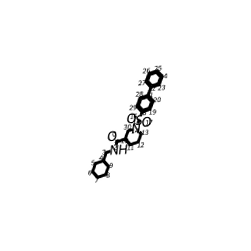 O=C(NCC1CCCCC1)C1CCCN(S(=O)(=O)c2ccc(-c3ccccc3)cc2)C1